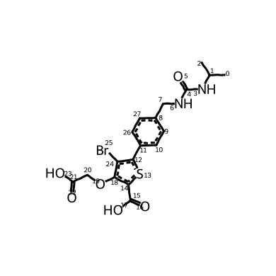 CC(C)NC(=O)NCc1ccc(-c2sc(C(=O)O)c(OCC(=O)O)c2Br)cc1